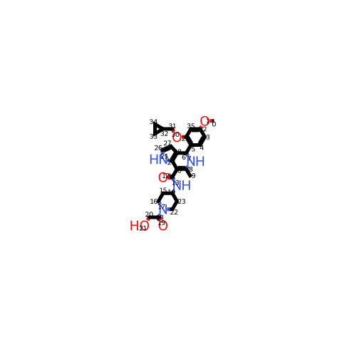 COc1ccc(C2NC(C)=C(C(=O)NC3CCN(C(=O)CO)CC3)c3[nH]ccc32)c(OCC2CC2)c1